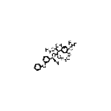 COc1cc(C(C(=O)OC(C#N)c2cccc(Oc3ccccc3)c2)C(C)C)ccc1OC(F)F